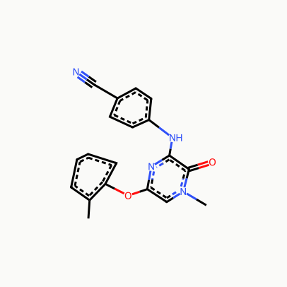 Cc1ccccc1Oc1cn(C)c(=O)c(Nc2ccc(C#N)cc2)n1